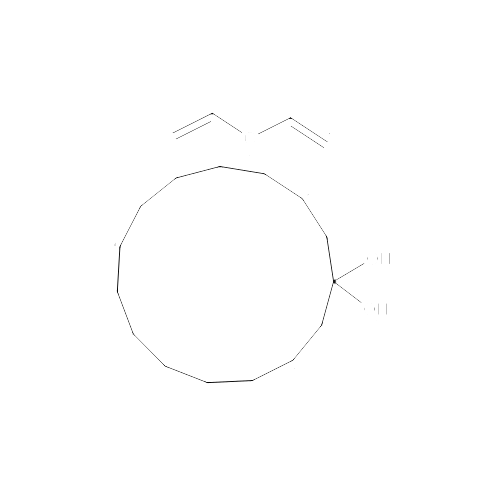 C=COC=C.OC1(O)CCCCCCCCCCCCCC1